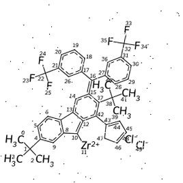 CC(C)(C)c1ccc2c(c1)[C]([Zr+2])=c1c-2cc(=C(c2cccc(C(F)(F)F)c2)c2cccc(C(F)(F)F)c2)c(C(C)(C)C)c1C1=CC=CC1.[Cl-].[Cl-]